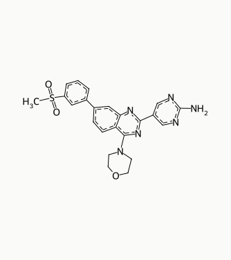 CS(=O)(=O)c1cccc(-c2ccc3c(N4CCOCC4)nc(-c4cnc(N)nc4)nc3c2)c1